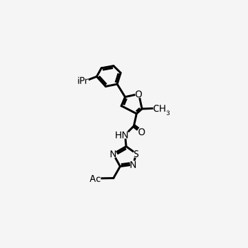 CC(=O)Cc1nsc(NC(=O)c2cc(-c3cccc(C(C)C)c3)oc2C)n1